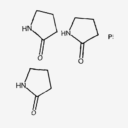 O=C1CCCN1.O=C1CCCN1.O=C1CCCN1.[P]